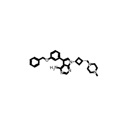 CN1CCN(C[C@H]2C[C@@H](n3cc(-c4cccc(OCc5ccccc5)c4)c4c(N)ncnc43)C2)CC1